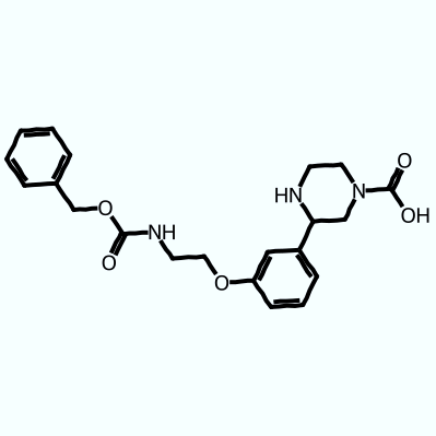 O=C(NCCOc1cccc(C2CN(C(=O)O)CCN2)c1)OCc1ccccc1